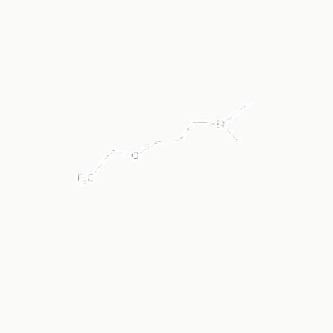 C[Si](C)CCCOCC(F)(F)F